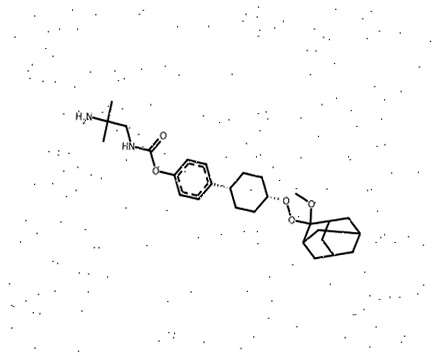 COC1(OO[C@H]2CC[C@@H](c3ccc(OC(=O)NCC(C)(C)N)cc3)CC2)C2CC3CC(C2)CC1C3